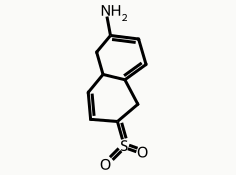 NC1=CC=C2CC(=S(=O)=O)C=CC2C1